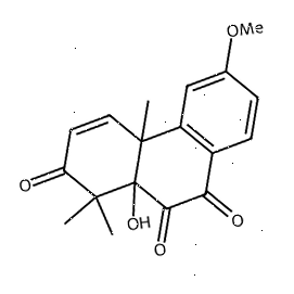 COc1ccc2c(c1)C1(C)C=CC(=O)C(C)(C)C1(O)C(=O)C2=O